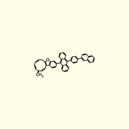 C=C1/C=C\C=C/Cc2oc3cc(-c4c5ccccc5c(-c5ccc(-c6ccc7ccccc7c6)cc5)c5ccccc45)ccc3c2/C=C\1